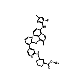 Cc1ccc2c(Nc3nn(C)cc3F)cccc2c1Oc1ncccc1-c1ccnc(NC2CCCN(C(=O)OC(C)(C)C)C2)n1